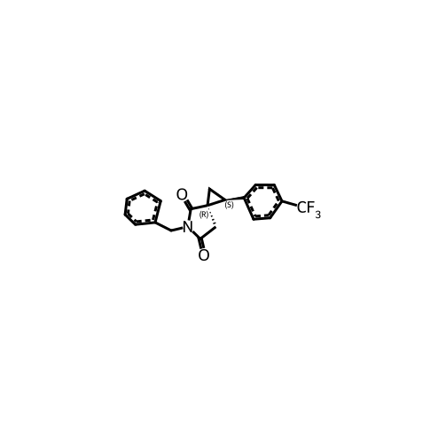 O=C1C[C@@]2(C[C@H]2c2ccc(C(F)(F)F)cc2)C(=O)N1Cc1ccccc1